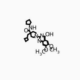 COc1cc2nc(N3CCC(CC4CCC4)(C(=O)NC4CCCC4)CC3)nc(O)c2cc1OC